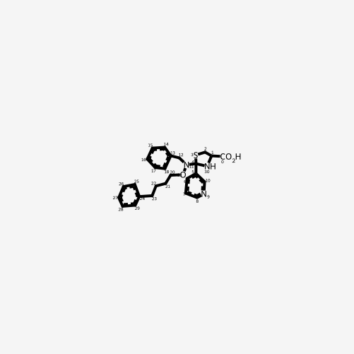 O=C(O)C1CSC(c2cccnc2)(N(Cc2ccccc2)OCCCCc2ccccc2)N1